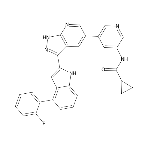 O=C(Nc1cncc(-c2cnc3[nH]nc(-c4cc5c(-c6ccccc6F)cccc5[nH]4)c3c2)c1)C1CC1